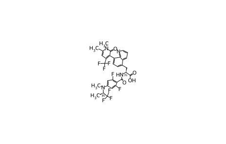 Cc1cc(C(F)(F)F)c(-c2ccc(C[C@H](NC(=O)c3c(F)cc(N(C)[C@H](C)C(F)(F)F)cc3F)C(=O)O)c3cccnc23)c(=O)n1C